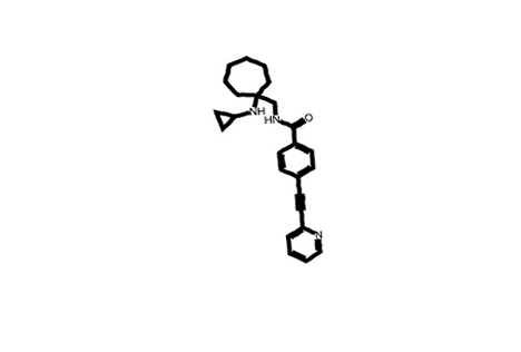 O=C(NCC1(NC2CC2)CCCCCC1)c1ccc(C#Cc2ccccn2)cc1